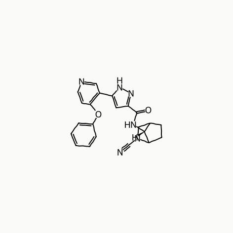 N#CN1CC2CCC1[C@@H]2NC(=O)c1cc(-c2cnccc2Oc2ccccc2)[nH]n1